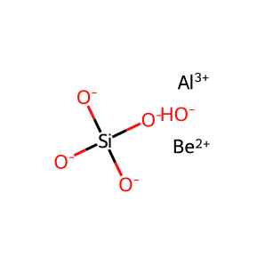 [Al+3].[Be+2].[O-][Si]([O-])([O-])[O-].[OH-]